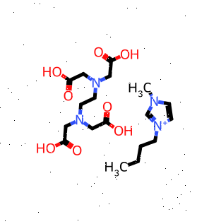 CCCC[n+]1ccn(C)c1.O=C(O)CN(CCN(CC(=O)O)CC(=O)O)CC(=O)O